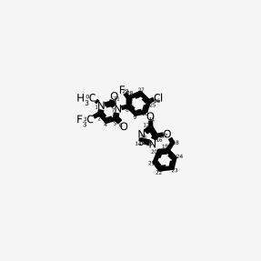 Cn1c(C(F)(F)F)cc(=O)n(-c2cc(Oc3nsnc3OCc3ccccc3)c(Cl)cc2F)c1=O